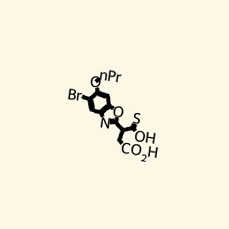 CCCOc1cc2oc(C(CC(=O)O)C(O)=S)nc2cc1Br